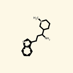 CN1CCCC(C(N)CCc2csc3ccccc23)C1